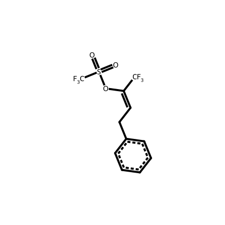 O=S(=O)(OC(=CCc1ccccc1)C(F)(F)F)C(F)(F)F